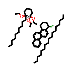 CCCCCCCCCCC1(OCC)CCCC[Si]1(OCC)OCC.CCCCCCCCCCCCCCCCC.FC1CCCc2c1ccc1c2ccc2ccccc21